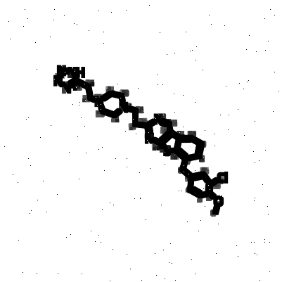 COc1ccc(Cc2cccc3c2sc2nc(CCN4CCN(CCc5nnn[nH]5)CC4)n[c]c23)cc1Cl